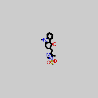 Cc1c(CC2CCc3c(c4ccccc4n3C)C2=O)ncn1S(C)(=O)=O